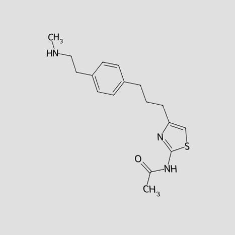 CNCCc1ccc(CCCc2csc(NC(C)=O)n2)cc1